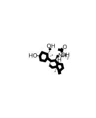 C=C1CC[C@H]2[C@H](CN)[C@@H]([C@@]3(C)CC[C@H](O)C[C@@H]3CO)CC[C@]12C.CC(=O)O